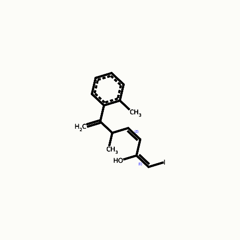 C=C(c1ccccc1C)C(C)/C=C\C(O)=C/I